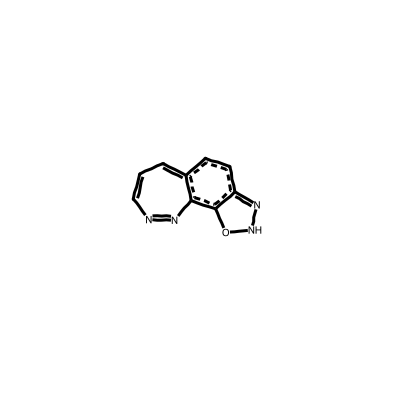 C1=CN=Nc2c3c(ccc2=C1)=NNO3